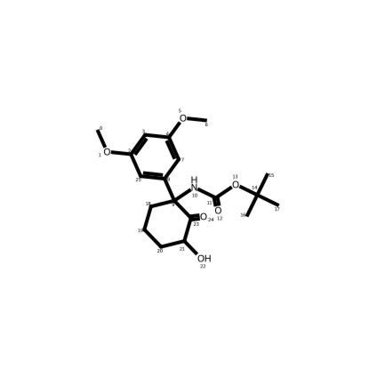 COc1cc(OC)cc(C2(NC(=O)OC(C)(C)C)CCCC(O)C2=O)c1